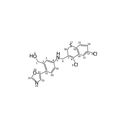 OCc1cc(NCC2=C(Cl)c3cc(Cl)ccc3SC2)ccc1-c1cnco1